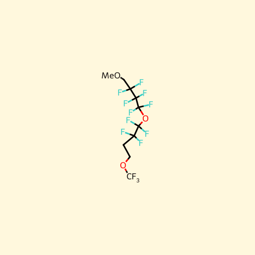 COCC(F)(F)C(F)(F)C(F)(F)OC(F)(F)C(F)(F)CCOC(F)(F)F